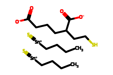 CCC[CH2][Sn+]=[S].CCC[CH2][Sn+]=[S].O=C([O-])CCCC(CCS)C(=O)[O-]